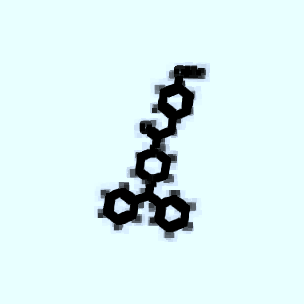 COc1ccc(CC(=O)N2CCN(C(c3ccccc3)c3ccccc3)CC2)cc1